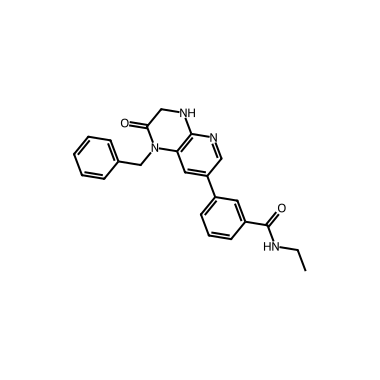 CCNC(=O)c1cccc(-c2cnc3c(c2)N(Cc2ccccc2)C(=O)CN3)c1